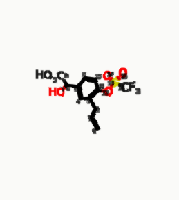 C=CCc1cc(C(O)C(=O)O)ccc1OS(=O)(=O)C(F)(F)F